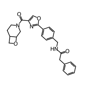 O=C(Cc1ccccc1)NCc1ccc(-c2nc(C(=O)N3CCC4COC4C3)co2)cc1